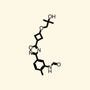 Cc1ccc(-c2noc(C3CC(OCC(C)(C)O)C3)n2)cc1NC=O